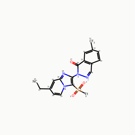 CCS(=O)(=O)c1c(-n2ncc3ccc(C(F)(F)F)cc3c2=O)nc2cc(CC#N)ccn12